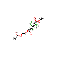 CC(C)OC(=O)C(F)(F)C(F)(F)C(F)(F)C(=O)OCCOC(=O)C(C)C